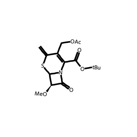 C=C1SC2[C@H](OC)C(=O)N2C(C(=O)OC(C)(C)C)=C1COC(C)=O